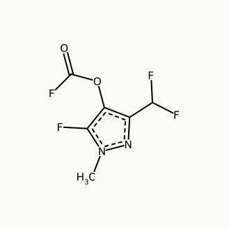 Cn1nc(C(F)F)c(OC(=O)F)c1F